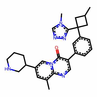 Cc1cc(C2CCCNC2)cn2c(=O)c(-c3cccc(C4(c5nncn5C)CC(C)C4)c3)cnc12